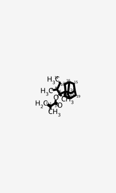 C=C(C)C(=O)OC(C)(C(C)CC)C12CC3CC(CC(C3)C1)C2